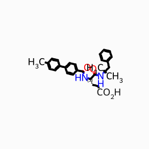 Cc1ccc(-c2ccc(C(=O)N[C@@H](CCC(=O)O)C(=O)NC(C)(C)Cc3ccccc3)cc2)cc1